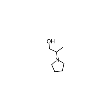 CC(CO)N1CCCC1